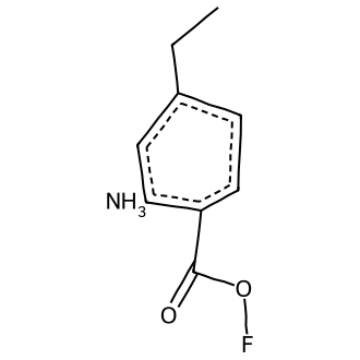 CCc1ccc(C(=O)OF)cc1.N